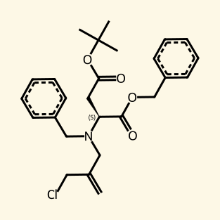 C=C(CCl)CN(Cc1ccccc1)[C@@H](CC(=O)OC(C)(C)C)C(=O)OCc1ccccc1